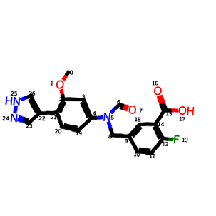 COc1cc(N(C=O)Cc2ccc(F)c(C(=O)O)c2)ccc1-c1cn[nH]c1